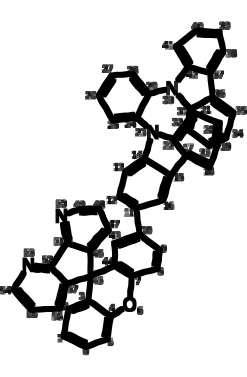 c1ccc2c(c1)Oc1ccc(-c3ccc4c(c3)c3ccccc3n4-c3ccccc3-n3c4ccccc4c4ccccc43)cc1C21c2cccnc2-c2ncccc21